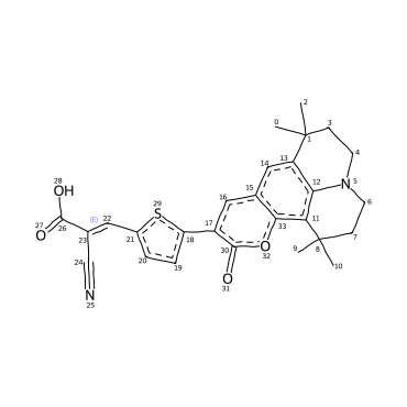 CC1(C)CCN2CCC(C)(C)c3c2c1cc1cc(-c2ccc(/C=C(\C#N)C(=O)O)s2)c(=O)oc31